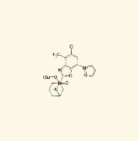 CC(C)(C)OC(=O)N1C2CC1CN(c1nc3c(C(F)(F)F)c(Cl)cc(-n4cccn4)c3o1)C2